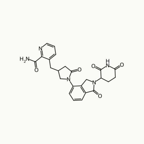 NC(=O)c1ncccc1CC1CC(=O)N(c2cccc3c2CN(C2CCC(=O)NC2=O)C3=O)C1